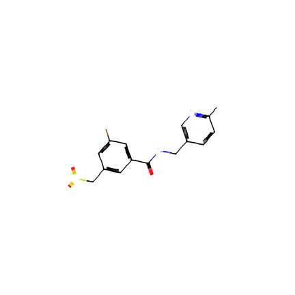 Cc1ccc(CNC(=O)c2cc(Br)cc(C[SH](=O)=O)c2)cn1